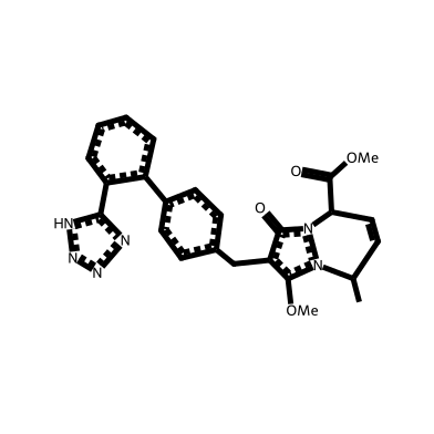 COC(=O)C1C=CC(C)n2c(OC)c(Cc3ccc(-c4ccccc4-c4nnn[nH]4)cc3)c(=O)n21